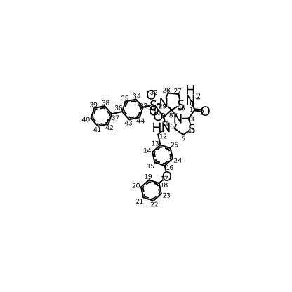 NC(=O)C1SCCN1C1(C(=O)NCc2ccc(Oc3ccccc3)cc2)SCCN1S(=O)(=O)c1ccc(-c2ccccc2)cc1